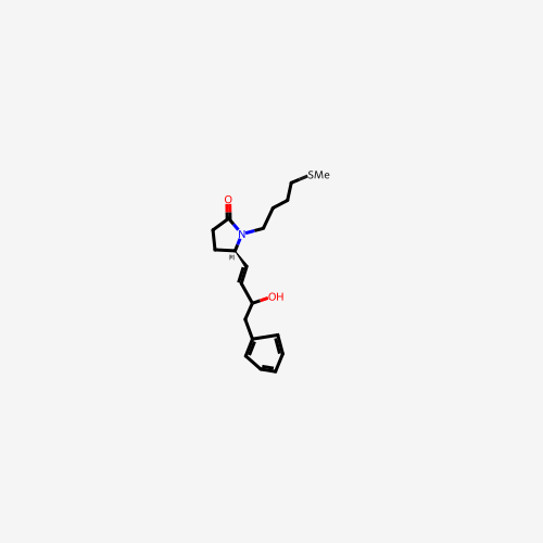 CSCCCCN1C(=O)CC[C@@H]1C=CC(O)Cc1ccccc1